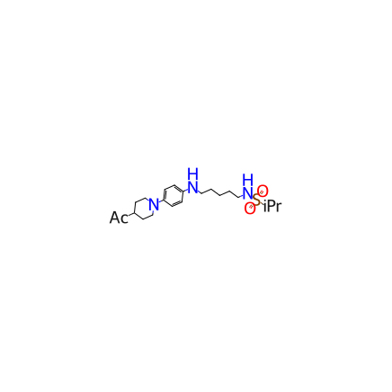 CC(=O)C1CCN(c2ccc(NCCCCCNS(=O)(=O)C(C)C)cc2)CC1